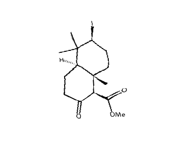 COC(=O)[C@H]1C(=O)CC[C@H]2C(C)(C)[C@@H](I)CC[C@]12C